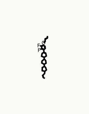 C/C=C\CC1CCC(C2CCC(C3CC=C(c4ccc(OC/C=C/C)c(F)c4F)CC3)CC2)CC1